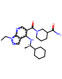 CCn1ncc2c(N[C@H](C)C3CCCCC3)c(C(=O)N3CCCC(C(N)=O)C3)cnc21